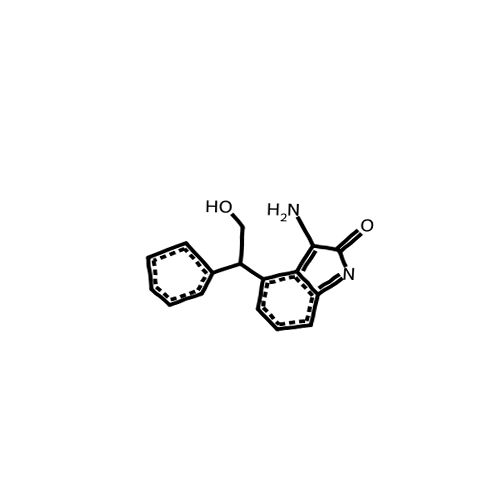 NC1=c2c(C(CO)c3ccccc3)cccc2=NC1=O